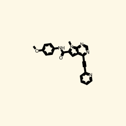 COc1ccc(NC(=O)c2cc3c(C#Cc4ccccn4)ncnc3n2C)cc1